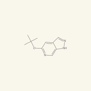 CC(C)(C)Oc1cc2cn[nH]c2cn1